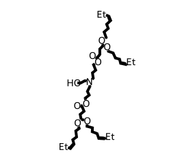 CC/C=C\CCCCOC(CCC(=O)OCCCCN(CCO)CCCCOC(=O)CCC(OCCCC/C=C\CC)OCCCC/C=C\CC)OCCCC/C=C\CC